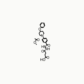 COC(C)=O.O=C(O)CCC(=O)NNC(=O)c1ccc(N2CCC(Oc3ccccc3)CC2)cc1